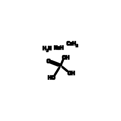 N.O=P(O)(O)O.[CaH2].[NaH]